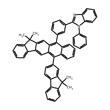 CC1(C)c2ccccc2-c2ccc(-c3c4ccccc4c(-c4cccc(-c5nc6ccccc6n5-c5ccccc5)c4)c4cc5c(cc34)-c3ccccc3C5(C)C)cc21